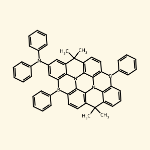 CC1(C)c2cccc3c2N2c4c(ccc5c4N4c6c(cc(N(c7ccccc7)c7ccccc7)cc6C5(C)C)B(c5ccccc5)c5ccc1c2c54)B3c1ccccc1